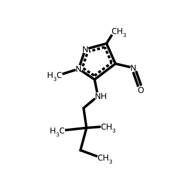 CCC(C)(C)CNc1c(N=O)c(C)nn1C